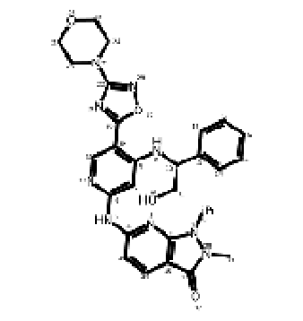 CC(C)n1c2nc(Nc3cc(N[C@H](CO)c4ccccc4)c(-c4nc(N5CCOCC5)no4)cn3)ccc2c(=O)n1C